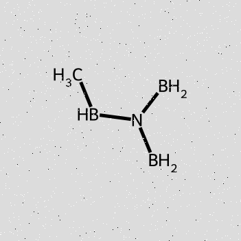 BN(B)BC